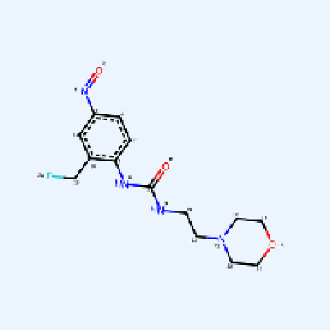 O=Nc1ccc(NC(=O)NCCN2CCOCC2)c(CF)c1